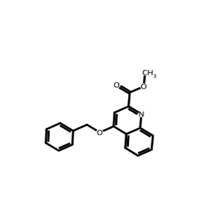 COC(=O)c1cc(OCc2ccccc2)c2ccccc2n1